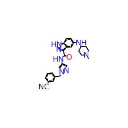 CN1CCC(Nc2ccc3[nH]nc(C(=O)Nc4cnn(Cc5cccc(C#N)c5)c4)c3c2)CC1